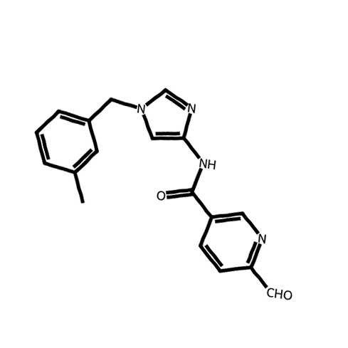 Cc1cccc(Cn2cnc(NC(=O)c3ccc(C=O)nc3)c2)c1